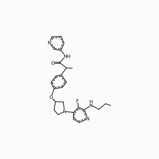 CCCNc1nccc(N2CC[C@@H](Oc3ccc(C(C)C(=O)Nc4cccnc4)cc3)C2)c1F